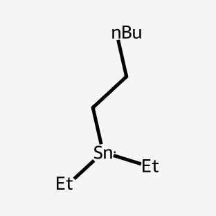 CCCCC[CH2][Sn]([CH2]C)[CH2]C